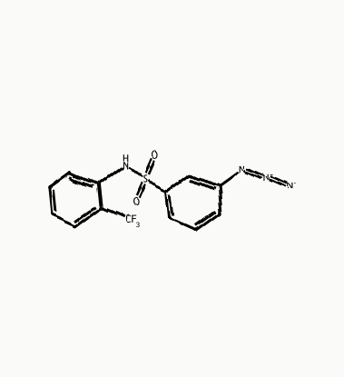 [N-]=[N+]=Nc1cccc(S(=O)(=O)Nc2ccccc2C(F)(F)F)c1